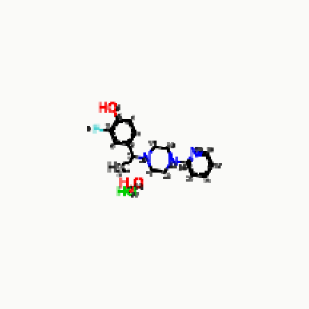 CC(c1ccc(O)c(F)c1)N1CCN(c2ccccn2)CC1.Cl.O